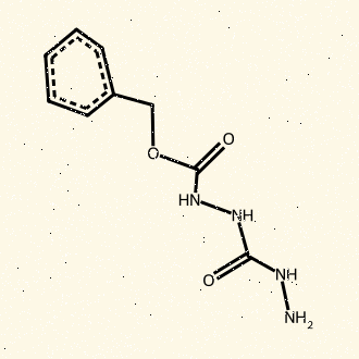 NNC(=O)NNC(=O)OCc1ccccc1